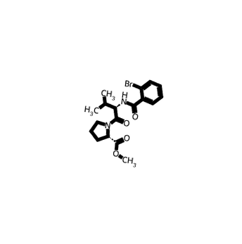 COC(=O)[C@@H]1CCCN1C(=O)[C@@H](NC(=O)c1ccccc1Br)C(C)C